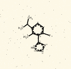 Cc1c(C(C)C)ccc(F)c1-c1nnn[nH]1